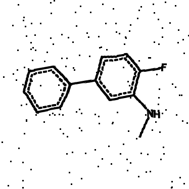 CNc1cc(-c2ccccc2)ccc1F